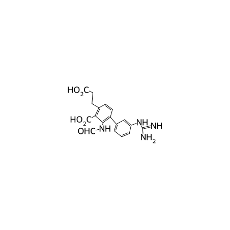 N=C(N)Nc1cccc(-c2ccc(CCC(=O)O)c(C(=O)O)c2NC=O)c1